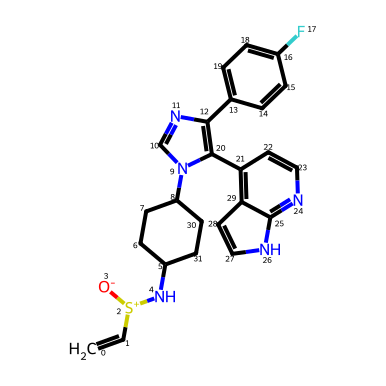 C=C[S+]([O-])NC1CCC(n2cnc(-c3ccc(F)cc3)c2-c2ccnc3[nH]ccc23)CC1